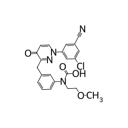 COCCN(C(=O)O)c1cccc(Cc2nn(-c3cc(Cl)cc(C#N)c3)ccc2=O)c1